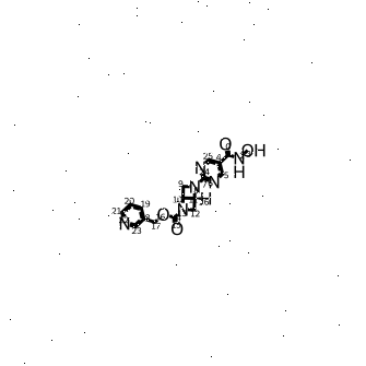 O=C(NO)c1cnc(N2CC3[C@H]2CN3C(=O)OCc2cccnc2)nc1